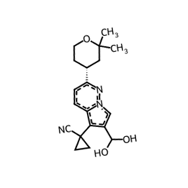 CC1(C)C[C@H](c2ccc3c(C4(C#N)CC4)c(C(O)O)cn3n2)CCO1